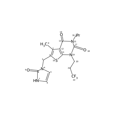 Cc1c(Cn2cc[nH]c2=O)sc2c1c(=O)n(C(C)C)c(=O)n2CCC(F)(F)F